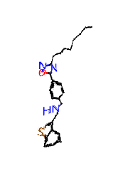 CCCCCCCCc1noc(-c2ccc(CNCc3csc4ccccc34)cc2)n1